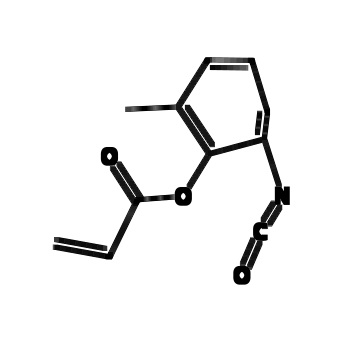 C=CC(=O)Oc1c(C)cccc1N=C=O